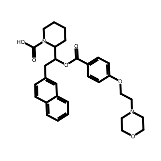 O=C(OC(Cc1ccc2ccccc2c1)C1CCCCN1C(=O)O)c1ccc(OCCN2CCOCC2)cc1